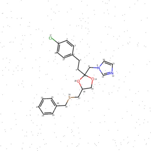 Clc1ccc(CCC2(Cn3ccnc3)OCC(CSCc3ccccc3)O2)cc1